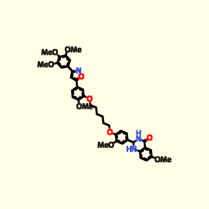 COc1ccc2c(c1)C(=O)NC(c1ccc(OCCCCCCOc3cc(-c4cc(-c5cc(OC)c(OC)c(OC)c5)no4)ccc3OC)c(OC)c1)N2